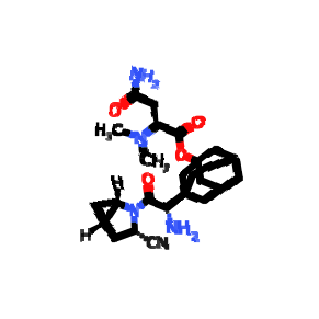 CN(C)[C@@H](CC(N)=O)C(=O)OC12CC3CC(C1)CC([C@H](N)C(=O)N1[C@H](C#N)C[C@@H]4C[C@@H]41)(C3)C2